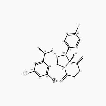 C=C1CCC(=O)N2C[C@H](O[C@H](C)c3cc(C(F)(F)F)cc(C(F)(F)F)c3)[C@@H](c3ccc(F)cc3)[C@H]12